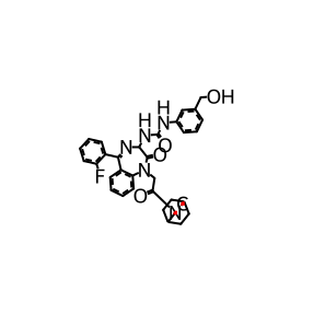 O=C(Nc1cccc(CO)c1)NC1N=C(c2ccccc2F)c2ccccc2N(CC(=O)N2CC3CCC(CC3)C2)C1=O